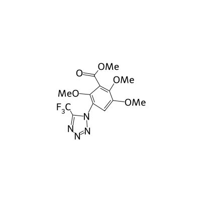 COC(=O)c1c(OC)c(OC)cc(-n2nnnc2C(F)(F)F)c1OC